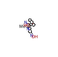 COc1nc2ccc(C=NO)cc2cc1[C@@H](c1ccccc1)[C@@](O)(CCN(C)C)c1cccc2ccccc12